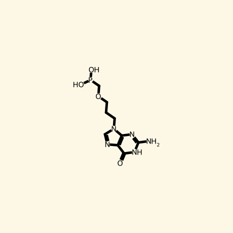 Nc1nc2c(ncn2CCCOCP(O)O)c(=O)[nH]1